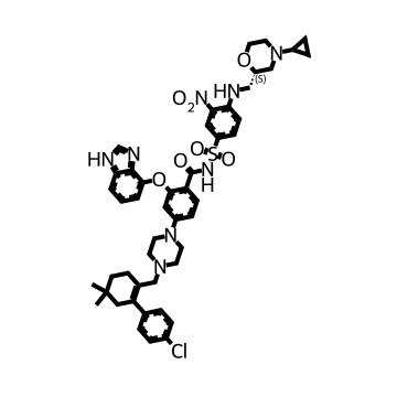 CC1(C)CCC(CN2CCN(c3ccc(C(=O)NS(=O)(=O)c4ccc(NC[C@H]5CN(C6CC6)CCO5)c([N+](=O)[O-])c4)c(Oc4cccc5[nH]cnc45)c3)CC2)=C(c2ccc(Cl)cc2)C1